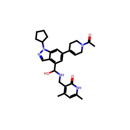 CC(=O)N1CC=C(c2cc(C(O)NCc3c(C)cc(C)[nH]c3=O)c3cnn(C4CCCC4)c3c2)CC1